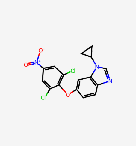 O=[N+]([O-])c1cc(Cl)c(Oc2ccc3ncn(C4CC4)c3c2)c(Cl)c1